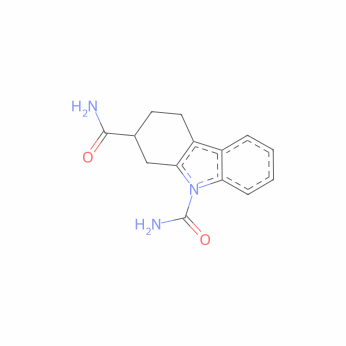 NC(=O)C1CCc2c(n(C(N)=O)c3ccccc23)C1